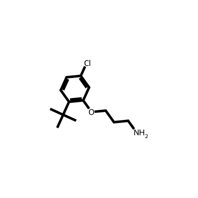 CC(C)(C)c1ccc(Cl)cc1OCCCN